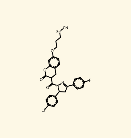 N#C[Se]CCCOc1ccc2c(c1)OC(=O)C(C(=O)N1N=C(c3ccc(F)cc3)CC1c1ccc(Cl)cc1)C2